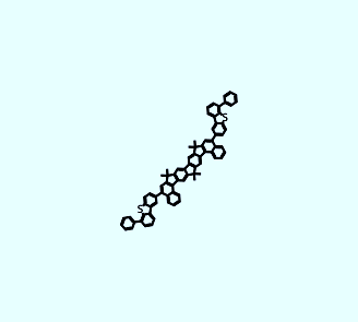 CC1(C)c2cc3c(cc2-c2cc4c(cc21)-c1c(cc(-c2ccc5sc6c(-c7ccccc7)cccc6c5c2)c2ccccc12)C4(C)C)C(C)(C)c1cc(-c2ccc4sc5c(-c6ccccc6)cccc5c4c2)c2ccccc2c1-3